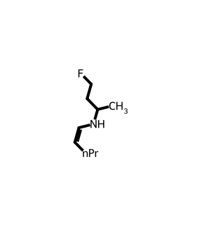 CCC/C=C\NC(C)CCF